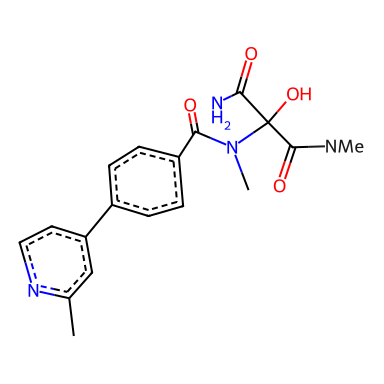 CNC(=O)C(O)(C(N)=O)N(C)C(=O)c1ccc(-c2ccnc(C)c2)cc1